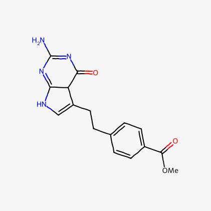 COC(=O)c1ccc(CCC2=CNC3=NC(N)=NC(=O)C23)cc1